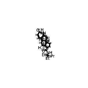 CCCC(CC)(CC)NC(=O)[C@H]1CC[C@H]2[C@@H]3CC[C@H]4NC(=O)C=C[C@]4(C)[C@H]3CC[C@]12C